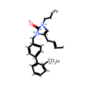 CC=CCc1cn(CCC(C)C)c(=O)n1Cc1ccc(-c2ccccc2C(=O)O)cc1